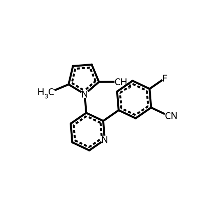 Cc1ccc(C)n1-c1cccnc1-c1ccc(F)c(C#N)c1